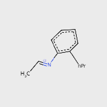 C/C=N/c1ccccc1CCC